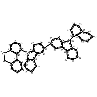 c1ccc2c(c1)COc1cccc(-n3c4ccccc4c4cc(-c5ccc6c(c5)c5ccccc5n6-c5cccc6ccccc56)ccc43)c1-2